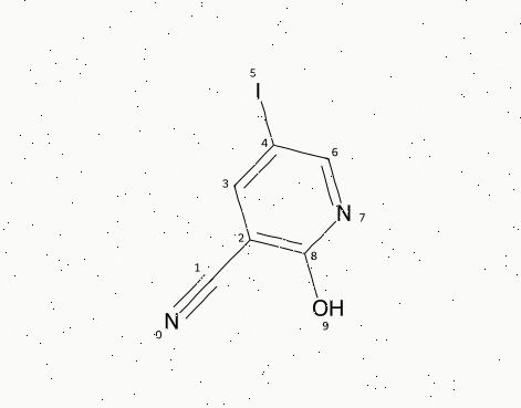 N#Cc1cc(I)cnc1O